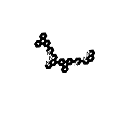 c1cnc2c(c1)ccc1ccc(-c3ccc(-c4ccc5c6ccc(-c7cc8cccnc8c8nc(-c9ccc(-c%10ccc%11c%12ccccc%12c%12ccccc%12c%11c%10)cn9)ccc78)cc6c6ccccc6c5c4)nc3)nc12